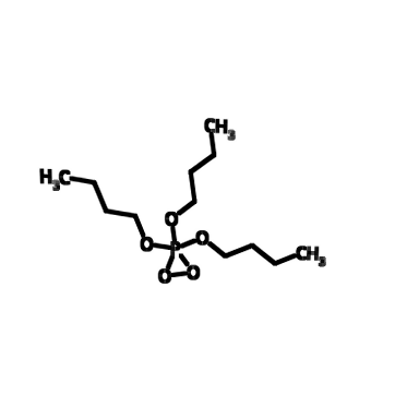 CCCCOP1(OCCCC)(OCCCC)OO1